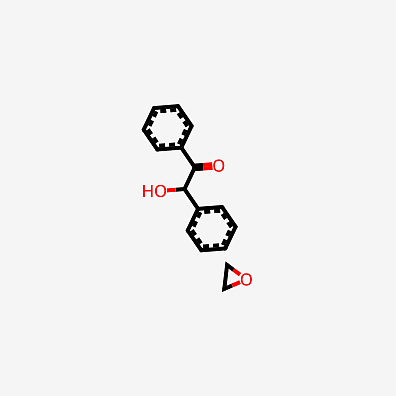 C1CO1.O=C(c1ccccc1)C(O)c1ccccc1